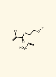 C=C(CC)C(=O)OCCOCC.C=CC(=O)O